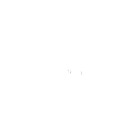 [CH2]CN1CCCCCCC1